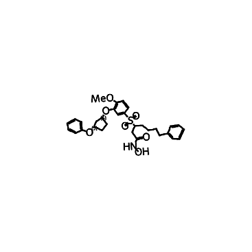 COc1ccc(S(=O)(=O)C(CCCCc2ccccc2)CC(=O)NO)cc1O[C@H]1CC[C@H](Oc2ccccc2)C1